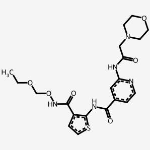 CCOCONC(=O)c1ccsc1NC(=O)c1ccnc(NC(=O)CN2CCOCC2)c1